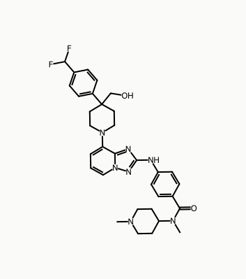 CN1CCC(N(C)C(=O)c2ccc(Nc3nc4c(N5CCC(CO)(c6ccc(C(F)F)cc6)CC5)cccn4n3)cc2)CC1